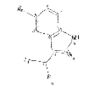 FC(F)c1n[nH]c2ccc(Br)cc12